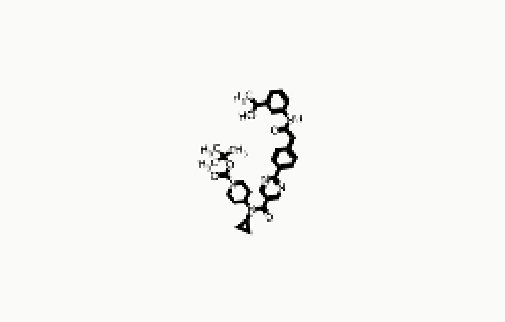 CC(O)c1cccc(NC(=O)Cc2ccc(-c3ncc(C(=O)N(C4CC4)C4CCN(C(=O)OC(C)(C)C)CC4)cn3)cc2)c1